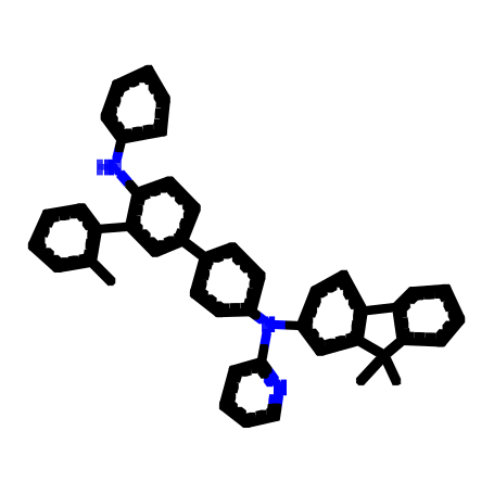 Cc1ccccc1-c1cc(-c2ccc(N(c3ccc4c(c3)C(C)(C)c3ccccc3-4)c3ccccn3)cc2)ccc1Nc1ccccc1